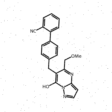 COCc1nc2ccnn2c(O)c1Cc1ccc(-c2ccccc2C#N)cc1